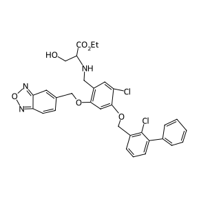 CCOC(=O)C(CO)NCc1cc(Cl)c(OCc2cccc(-c3ccccc3)c2Cl)cc1OCc1ccc2nonc2c1